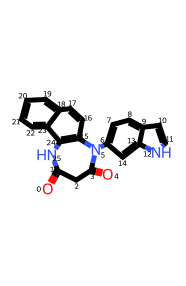 O=C1CC(=O)N(c2ccc3cc[nH]c3c2)c2ccc3ccccc3c2N1